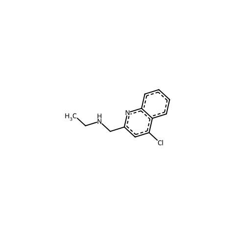 CCNCc1cc(Cl)c2ccccc2n1